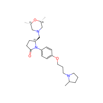 CC1CCCN1CCCOc1ccc(N2C(=O)CC[C@H]2CN2C[C@@H](C)O[C@@H](C)C2)cc1